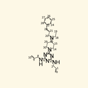 C=CCNc1nc(NCC=C)nc(N2CCC(N(CC)CC=Cc3ccccc3)CC2)n1